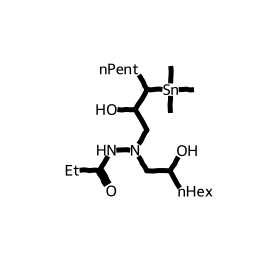 CCCCCCC(O)CN(CC(O)[CH](CCCCC)[Sn]([CH3])([CH3])[CH3])NC(=O)CC